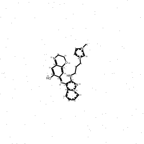 C[n+]1ccn(CCCNc2nn3ccccc3c2/N=C2\C=C3OCCN=C3C=C2O)c1